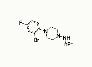 CCCNN1CCN(c2ccc(F)cc2Br)CC1